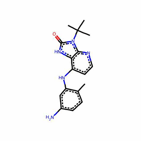 Cc1ccc(N)cc1Nc1ccnc2c1[nH]c(=O)n2C(C)(C)C